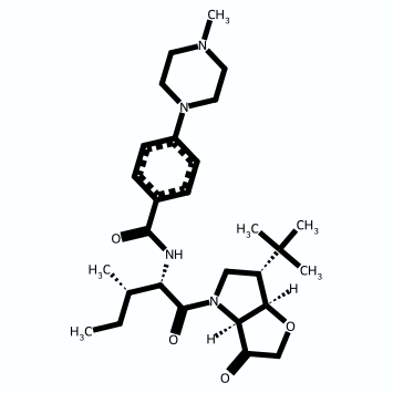 CC[C@H](C)[C@H](NC(=O)c1ccc(N2CCN(C)CC2)cc1)C(=O)N1C[C@H](C(C)(C)C)[C@H]2OCC(=O)[C@H]21